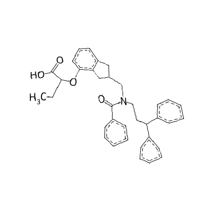 CCC(Oc1cccc2c1CC(CN(CCC(c1ccccc1)c1ccccc1)C(=O)c1ccccc1)C2)C(=O)O